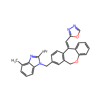 CCCc1nc2c(C)cccc2n1Cc1ccc2c(c1)COc1ccccc1C2=Cc1nnco1